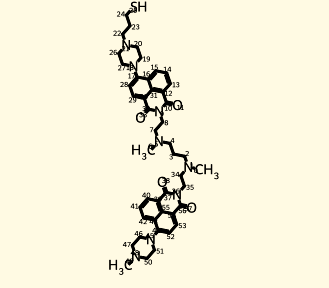 CN(CCCN(C)CCN1C(=O)c2cccc3c(N4CCN(CCCS)CC4)ccc(c23)C1=O)CCN1C(=O)c2cccc3c(N4CCN(C)CC4)ccc(c23)C1=O